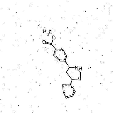 COC(=O)c1ccc([C@@H]2C[C@H](c3ccccc3)CCN2)cc1